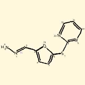 N/N=C/c1ccc(Sc2ncccn2)o1